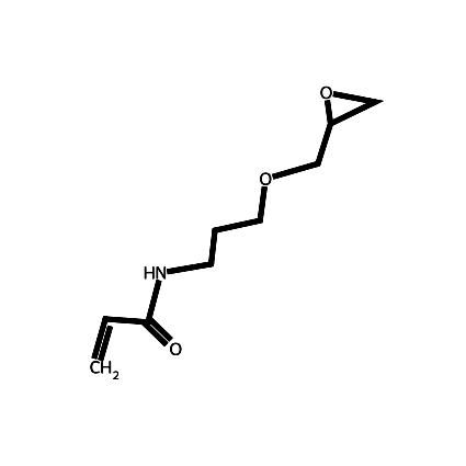 C=CC(=O)NCCCOCC1CO1